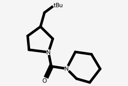 CC(C)(C)CC1CCN(C(=O)N2CCCCC2)C1